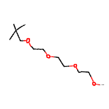 COCCOCCOCCOCC(C)(C)C